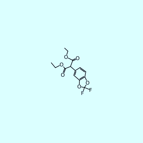 CCOC(=O)C(C(=O)OCC)c1ccc2c(c1)OC(F)(F)O2